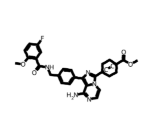 COC(=O)C12CCC(c3nc(-c4ccc(CNC(=O)c5cc(F)ccc5OC)cc4)c4c(N)nccn34)(CC1)CC2